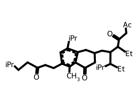 CCC(C(=O)CC(C)=O)C(CC1CC(=O)c2c(C)c(CCC(=O)CCC(C)C)cc(C(C)C)c2C1)C(CC)C(C)C